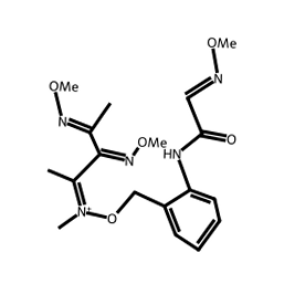 CON=CC(=O)Nc1ccccc1CO[N+](C)=C(C)C(=NOC)C(C)=NOC